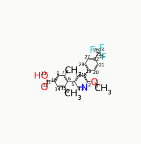 COc1ncc(-c2c(C)cc(C(=O)O)cc2C)cc1-c1ccc(C(F)(F)F)cc1